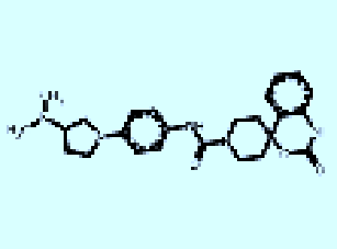 CN(C)C1CCN(c2ccc(NC(=O)N3CCC4(CC3)OC(=O)Nc3ccccc34)cc2)C1